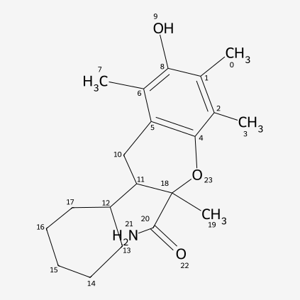 Cc1c(C)c2c(c(C)c1O)CC(C1CCCCC1)C(C)(C(N)=O)O2